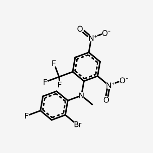 CN(c1ccc(F)cc1Br)c1c([N+](=O)[O-])cc([N+](=O)[O-])cc1C(F)(F)F